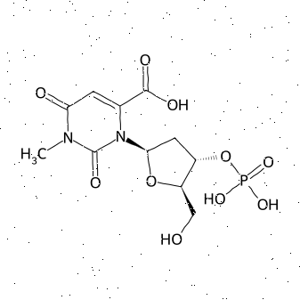 Cn1c(=O)cc(C(=O)O)n([C@H]2C[C@H](OP(=O)(O)O)[C@@H](CO)O2)c1=O